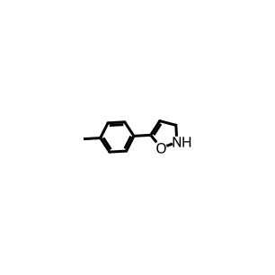 Cc1ccc(C2=CCNO2)cc1